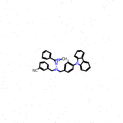 CN1C(c2ccccc2)[N@@]1N(Cc1ccc(-n2c3ccccc3c3ccccc32)cc1)Cc1cccc(C#N)c1